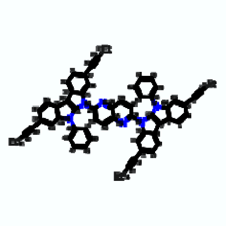 CCC#Cc1ccc2c3c4ccc(C#CCC)cc4n(-c4ccc5nc(-n6c7cc(C#CCC)ccc7c7c8ccc(C#CCC)cc8n(-c8ccccc8)c76)ccc5n4)c3n(-c3ccccc3)c2c1